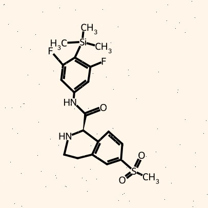 C[Si](C)(C)c1c(F)cc(NC(=O)[C@@H]2NCCc3cc(S(C)(=O)=O)ccc32)cc1F